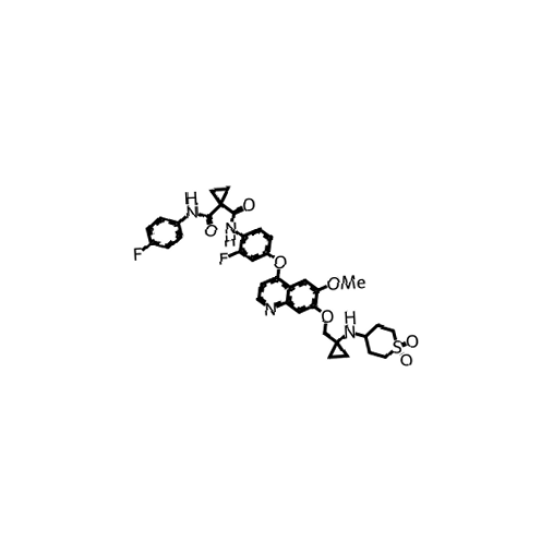 COc1cc2c(Oc3ccc(NC(=O)C4(C(=O)Nc5ccc(F)cc5)CC4)c(F)c3)ccnc2cc1OCC1(NC2CCS(=O)(=O)CC2)CC1